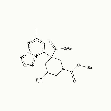 COC(=O)C1(c2cc(C)nc3ncnn23)CC(C(F)(F)F)CN(C(=O)OC(C)(C)C)C1